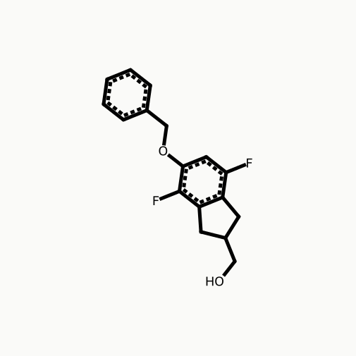 OCC1Cc2c(F)cc(OCc3ccccc3)c(F)c2C1